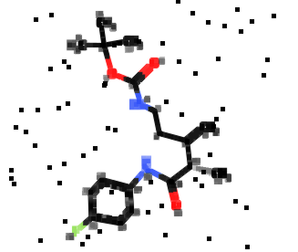 C=C(CCNC(=O)OC(C)(C)C)[C@H](C)C(=O)Nc1ccc(F)cc1